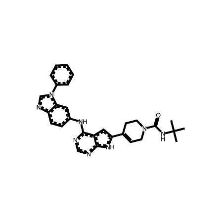 CC(C)(C)NC(=O)N1CC=C(c2cc3c(Nc4ccc5ncn(-c6ccccc6)c5c4)ncnc3[nH]2)CC1